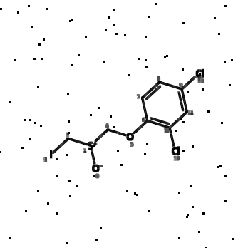 [O-][S+](CI)COc1ccc(Cl)cc1Cl